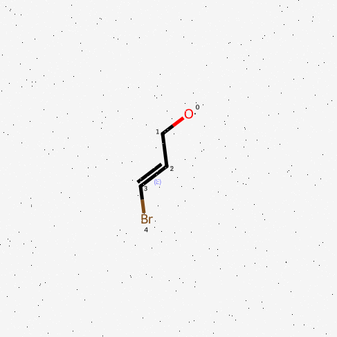 [O]C/C=C/Br